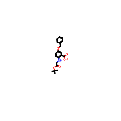 CC(C)(C)OC(=O)CNc1ccc(OCc2ccccc2)cc1C(=O)O